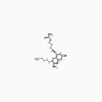 CCCCCc1cc2c(C#CCCCOC(N)=O)cc(Br)cc2nc1N